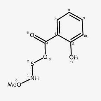 CONSOC(=O)c1ccccc1O